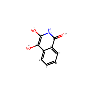 O=c1[nH]c(O)c(O)c2ccccc12